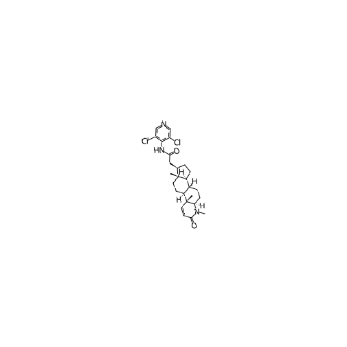 CN1C(=O)C=C[C@]2(C)[C@H]3CC[C@]4(C)[C@@H](CC(=O)Nc5c(Cl)cncc5Cl)CC[C@H]4[C@@H]3CC[C@@H]12